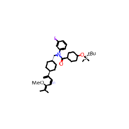 C=C(/C=C\C(OC)=C(C)C)[C@H]1CC[C@H](CN(C(=O)C2CCC(O[Si](C)(C)C(C)(C)C)CC2)c2cccc(I)c2)CC1